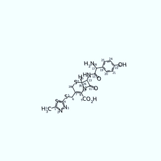 Cc1nnc(SCC2=C(C(=O)O)N3C(=O)C(NC(=O)C(N)c4ccc(O)cc4)[C@H]3SC2)s1